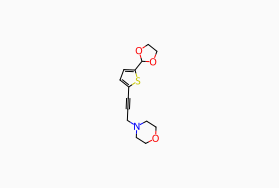 C(#Cc1ccc(C2OCCO2)s1)CN1CCOCC1